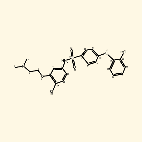 CN(C)CCOc1cc(NS(=O)(=O)c2ccc(Oc3ccccc3Cl)cc2)ccc1Cl